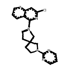 Clc1cc2ncccc2c(N2CCC3(CCN(c4ncccn4)C3)C2)n1